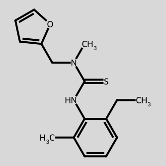 CCc1cccc(C)c1NC(=S)N(C)Cc1ccco1